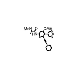 CNC(C)C(=O)Nc1cc(OC)c(-c2cncnc2)c(C#Cc2ccccc2)n1